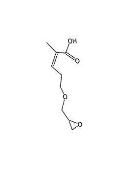 CC(=CCCOCC1CO1)C(=O)O